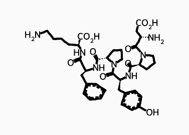 NCCCC[C@H](NC(=O)[C@H](Cc1ccccc1)NC(=O)[C@@H]1CCCN1C(=O)[C@H](Cc1ccc(O)cc1)NC(=O)[C@@H]1CCCN1C(=O)[C@@H](N)CC(=O)O)C(=O)O